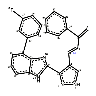 C=C(/C=C/c1c[nH]nc1-c1nc2c(-c3cccc(F)c3)cccc2[nH]1)c1ccccc1